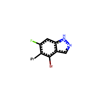 CC(C)c1c(F)cc2[nH]ncc2c1Br